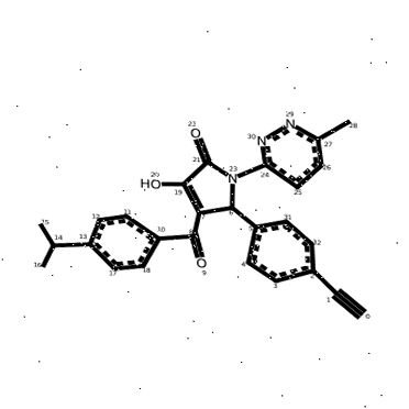 C#Cc1ccc(C2C(C(=O)c3ccc(C(C)C)cc3)=C(O)C(=O)N2c2ccc(C)nn2)cc1